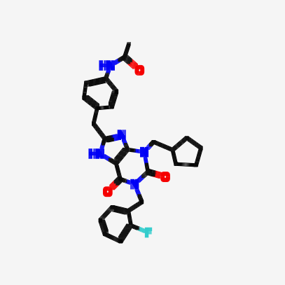 CC(=O)Nc1ccc(Cc2nc3c([nH]2)c(=O)n(Cc2ccccc2F)c(=O)n3CC2CCCC2)cc1